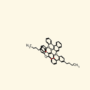 CCCCc1ccc(N2B3c4c(cc5ccccc5c4-c4ccccc42)N(c2ccc(CCCC)cc2-c2ccccc2)c2ccc4oc5ccccc5c4c23)cc1